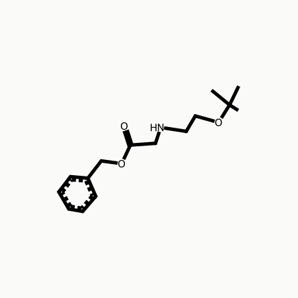 CC(C)(C)OCCNCC(=O)OCc1ccccc1